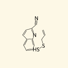 C=CCSS.N#Cc1ccc2ccccc2n1